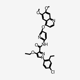 CCOc1cn(-c2ccc(Cl)cc2CC)nc1C(=O)Nc1ccc(Oc2ccnc3cc(OC)c(OC)cc23)cn1